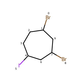 BrC1CCC(I)CC(Br)C1